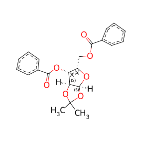 CC1(C)O[C@@H]2O[C@@H](COC(=O)c3ccccc3)[C@@H](OC(=O)c3ccccc3)[C@@H]2O1